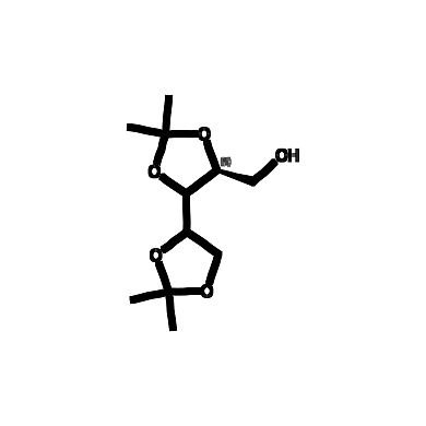 CC1(C)OCC(C2OC(C)(C)O[C@H]2CO)O1